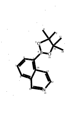 CC1(C)OB(c2cccc3cnccc23)OC1(C)C